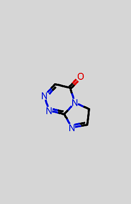 O=c1cnnc2n1CC=N2